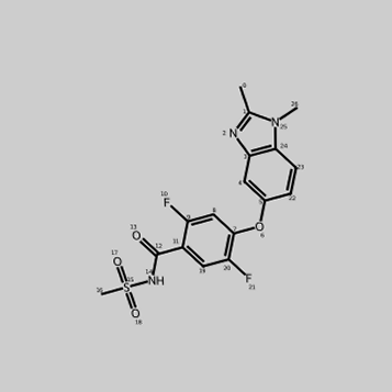 Cc1nc2cc(Oc3cc(F)c(C(=O)NS(C)(=O)=O)cc3F)ccc2n1C